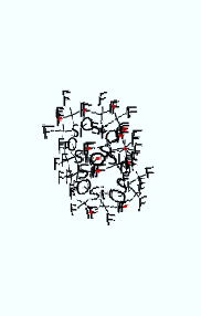 FC(F)(F)[Si]1(C(F)(F)F)O[Si](C(F)(F)F)(C(F)(F)F)O[Si](C(F)(F)F)(C(F)(F)C(F)(F)[Si]2(C(F)(F)F)O[Si](C(F)(F)F)(C(F)(F)F)O[Si](C(F)(F)F)(C(F)(F)F)O[Si](C(F)(F)F)(C(F)(F)F)O2)O[Si](C(F)(F)F)(C(F)(F)F)O1